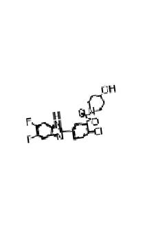 O=S(=O)(c1cc(-c2nc3cc(F)c(F)cc3[nH]2)ccc1Cl)N1CCC(O)CC1